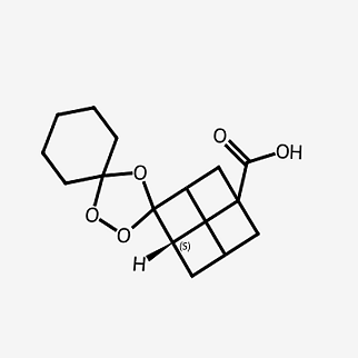 O=C(O)C12CC3C[C@@H]4C5(OOC6(CCCCC6)O5)C(C1)C342